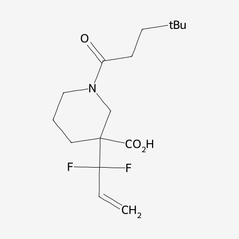 C=CC(F)(F)C1(C(=O)O)CCCN(C(=O)CCC(C)(C)C)C1